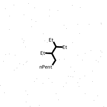 [CH2]CC(CC)C(CC)CCCCCC